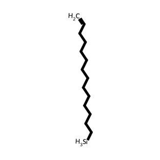 C=CCCCCCCCCCCCC[SiH3]